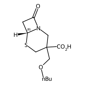 CCCCOCC1(C(=O)O)CS[C@@H]2CC(=O)N2C1